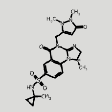 C[C@@H]1CN=C2N(Cc3cc(=O)n(C)n3C)C(=O)c3cc(S(=O)(=O)NC4(C)CC4)ccc3N21